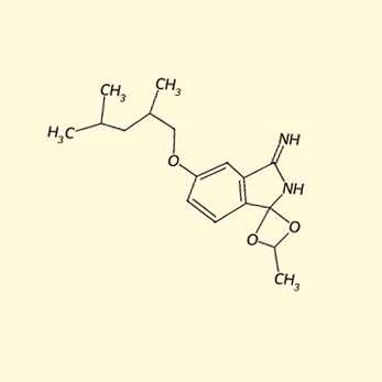 CC(C)CC(C)COc1ccc2c(c1)C(=N)NC21OC(C)O1